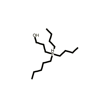 CCCCC[PH](CCCC)(CCCC)CCCO